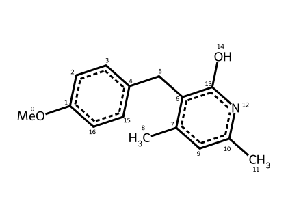 COc1ccc(Cc2c(C)cc(C)nc2O)cc1